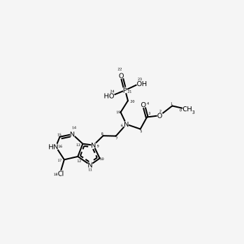 CCOC(=O)CN(CCn1cnc2c1N=CNC2Cl)CCP(=O)(O)O